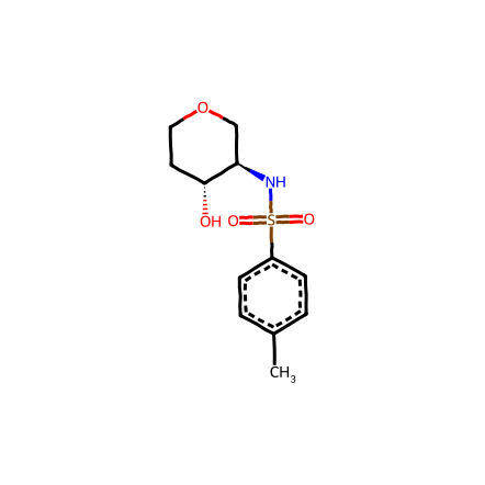 Cc1ccc(S(=O)(=O)N[C@@H]2COCC[C@H]2O)cc1